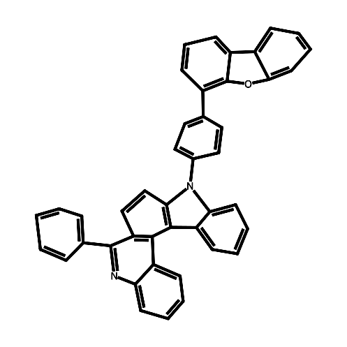 c1ccc(-c2nc3ccccc3c3c2ccc2c3c3ccccc3n2-c2ccc(-c3cccc4c3oc3ccccc34)cc2)cc1